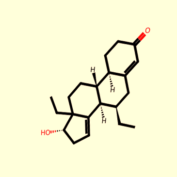 CC[C@@H]1CC2=CC(=O)CC[C@@H]2[C@H]2CCC3(CC)C(=CC[C@@H]3O)[C@H]12